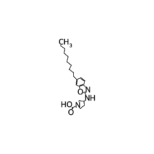 CCCCCCCCCCc1ccc2nc(NC3CCN(C(=O)O)C3)oc2c1